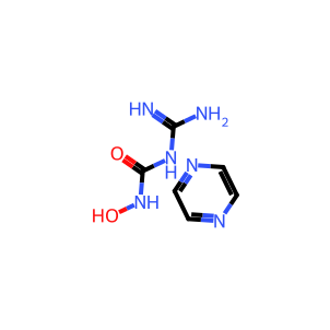 N=C(N)NC(=O)NO.c1cnccn1